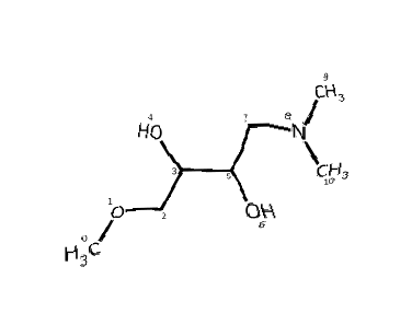 COCC(O)C(O)CN(C)C